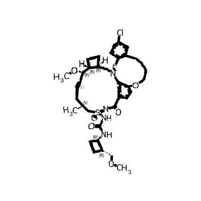 COC[C@@H]1CC[C@H]1NC(=O)NS1(=O)=NC(=O)c2ccc3c(c2)N(Cc2ccc(Cl)cc2CCCCO3)C[C@@H]2CC[C@H]2[C@@H](OC)/C=C/C[C@H](C)C1